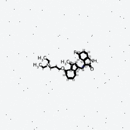 CCN(CC)CCCOc1ccccc2c(/C=C3/C(=O)Nc4ccc(F)cc43)cc(C)c1-2